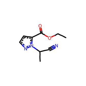 CCOC(=O)c1ccnn1C(C)C#N